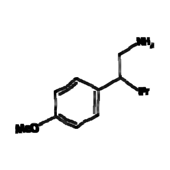 COc1ccc(C(CN)C(C)C)cc1